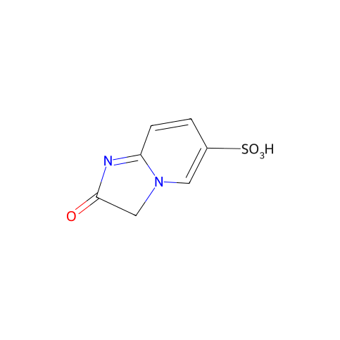 O=C1CN2C=C(S(=O)(=O)O)C=CC2=N1